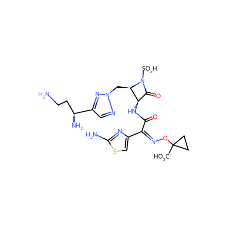 NCC[C@H](N)c1cnn(C[C@@H]2[C@H](NC(=O)/C(=N\OC3(C(=O)O)CC3)c3csc(N)n3)C(=O)N2S(=O)(=O)O)n1